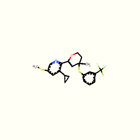 CSc1cnc(C2CC(C)(Sc3cccc(C(F)(F)F)c3)CCO2)c(C2CC2)c1